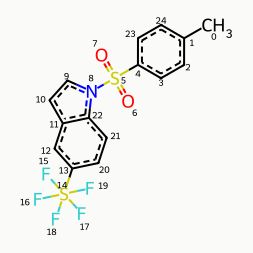 Cc1ccc(S(=O)(=O)n2ccc3cc(S(F)(F)(F)(F)F)ccc32)cc1